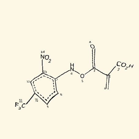 C=C(C(=O)O)C(=O)ONc1ccc(C(F)(F)F)cc1[N+](=O)[O-]